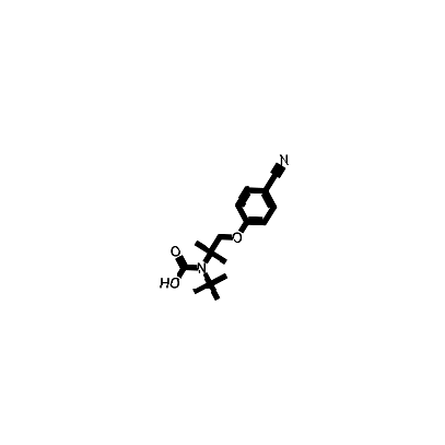 CC(C)(C)N(C(=O)O)C(C)(C)COc1ccc(C#N)cc1